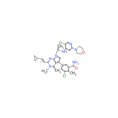 C=C(Cn1cc(-c2cc(Cl)c(C)c(C(N)=O)c2)c2c1N=C(/C=C/C1CC1)N(C)C2=C)Nc1cc(N2CCOCC2)ncc1Cl